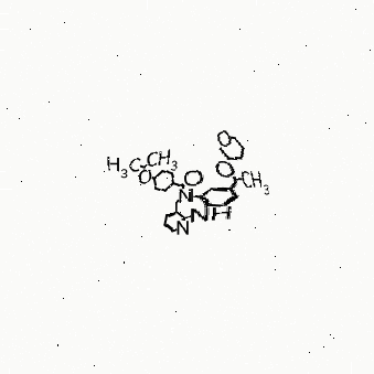 CC(C)OC1CCC(C(=O)N2Cc3cccnc3Nc3ccc(C(C)OC4CCCOC4)cc32)CC1